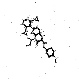 CC[C@@H](C)n1c(=O)c(NCc2ccc(SC)cc2)nc2cnc(-c3c(C4CC4)ncnc3C3CC3)nc21